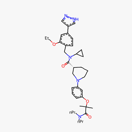 CCCN(CCC)C(=O)C(C)(C)Oc1cccc(N2CCC[C@@H](C(=O)N(Cc3ccc(-c4cn[nH]c4)cc3OCC)C3CC3)C2)c1